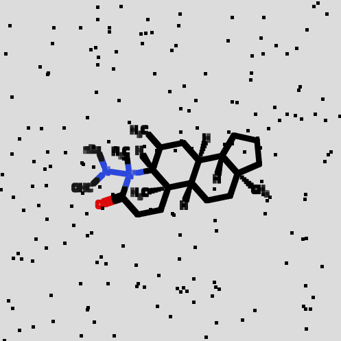 CCCCN(C=O)[N+]1(C)C(=O)CC[C@@]2(C)[C@H]1C(C)C[C@H]1[C@@H]3CCC[C@@]3(C)CC[C@@H]12